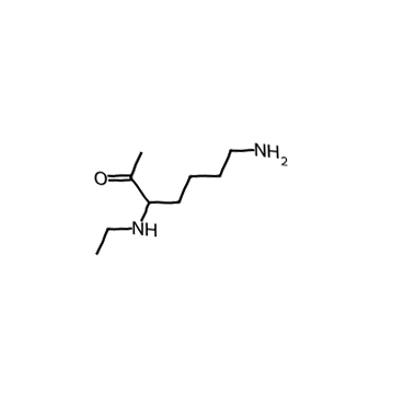 CCNC(CCCCN)C(C)=O